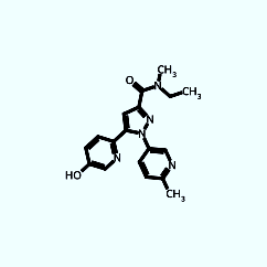 CCN(C)C(=O)c1cc(-c2ccc(O)cn2)n(-c2ccc(C)nc2)n1